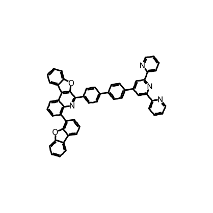 c1ccc(-c2cc(-c3ccc(-c4ccc(-c5nc6c(-c7cccc8c7oc7ccccc78)cccc6c6c5oc5ccccc56)cc4)cc3)cc(-c3ccccn3)n2)nc1